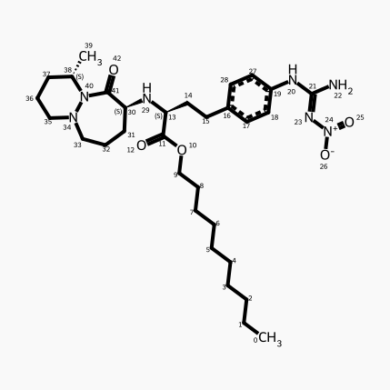 CCCCCCCCCCOC(=O)[C@H](CCc1ccc(NC(N)=N[N+](=O)[O-])cc1)N[C@H]1CCCN2CCC[C@H](C)N2C1=O